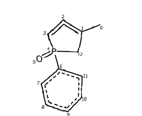 CC1=C=CP(=O)(c2ccccc2)C1